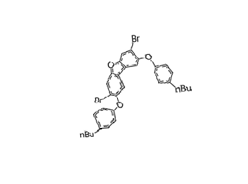 CCCCc1ccc(Oc2cc3c(cc2Br)oc2cc(Br)c(Oc4ccc(CCCC)cc4)cc23)cc1